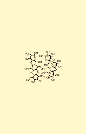 CC(=O)NC1C(OC2C(CO)OC(O)C(N)C2O)OC(CO)C(OC2OC(CO)C(O)C(O)C2N)C1O.OC[C@H]1O[C@@H](OC2[C@@H](CO)O[C@H](O)[C@H](O)[C@H]2O)[C@H](O)[C@@H](O)C1O[C@@H]1O[C@H](CO)[C@@H](O)[C@H](O)[C@H]1O